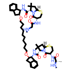 CNCC(=O)N[C@H]1CCS[C@H]2CC(C)(C)[C@@H](C(=O)N[C@H]3c4ccccc4C[C@H]3OCCCCCCCCCCO[C@@H]3Cc4ccccc4[C@@H]3NC(=O)[C@H]3N4C(=O)[C@@H](NC(=O)[C@H](C)NC)CCS[C@H]4CC3(C)C)N2C1=O